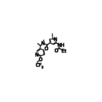 CCC(=O)Nc1cc(C(=O)N(C)C(C)c2ccc(OCC(F)(F)F)nc2)cc(C)n1